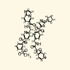 CS(=O)(=O)c1cccc(S(=O)(=O)c2ccc(CNC(=O)c3ccc4nccn4c3)nc2)c1.O=C(NCc1ccc(S(=O)(=O)c2cnc(N3CCCC3)s2)cn1)c1cc2ccncc2o1